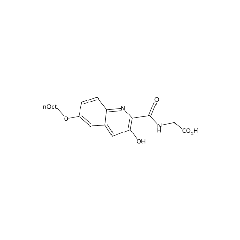 CCCCCCCCOc1ccc2nc(C(=O)NCC(=O)O)c(O)cc2c1